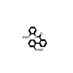 CCCCCCCc1ccccc1-c1ccccc1C(=O)Oc1ccccc1C(C)CCC